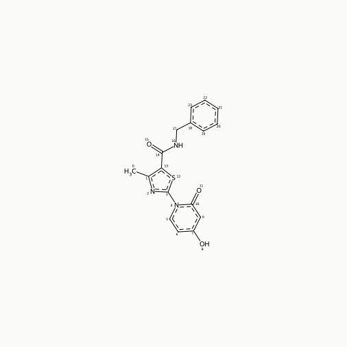 Cc1nc(-n2ccc(O)cc2=O)sc1C(=O)NCc1ccccc1